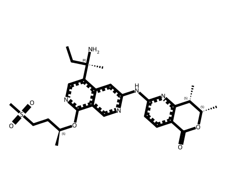 CC[C@@](C)(N)c1cnc(O[C@@H](C)CCS(C)(=O)=O)c2cnc(Nc3ccc4c(n3)[C@H](C)[C@H](C)OC4=O)cc12